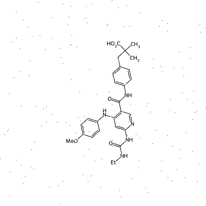 CCNC(=O)Nc1cc(Nc2ccc(OC)cc2)c(C(=O)Nc2ccc(CC(C)(C)C(=O)O)cc2)cn1